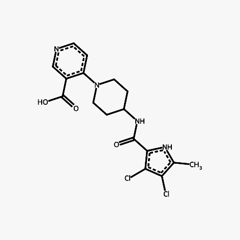 Cc1[nH]c(C(=O)NC2CCN(c3ccncc3C(=O)O)CC2)c(Cl)c1Cl